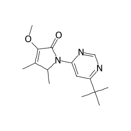 COC1=C(C)C(C)N(c2cc(C(C)(C)C)ncn2)C1=O